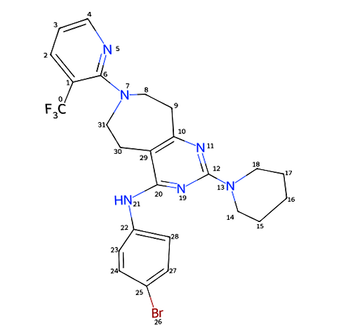 FC(F)(F)c1cccnc1N1CCc2nc(N3CCCCC3)nc(Nc3ccc(Br)cc3)c2CC1